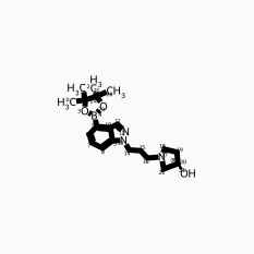 CC1(C)OB(c2cccc3c2cnn3CCCN2CC[C@@H](O)C2)OC1(C)C